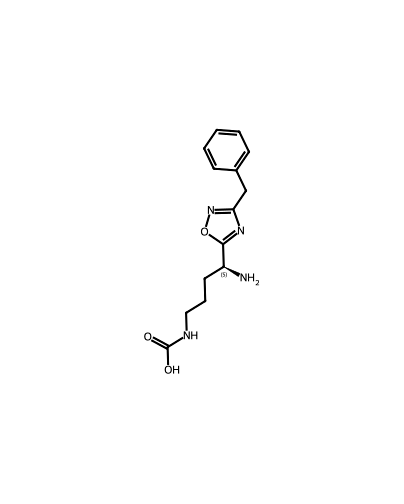 N[C@@H](CCCNC(=O)O)c1nc(Cc2ccccc2)no1